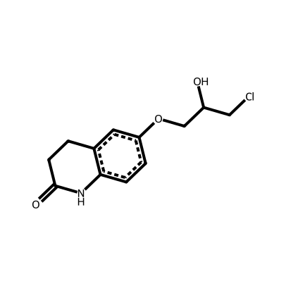 O=C1CCc2cc(OCC(O)CCl)ccc2N1